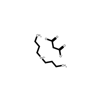 CCC[CH2][Sn+2][CH2]CCC.O=C([O-])CC(=O)[O-]